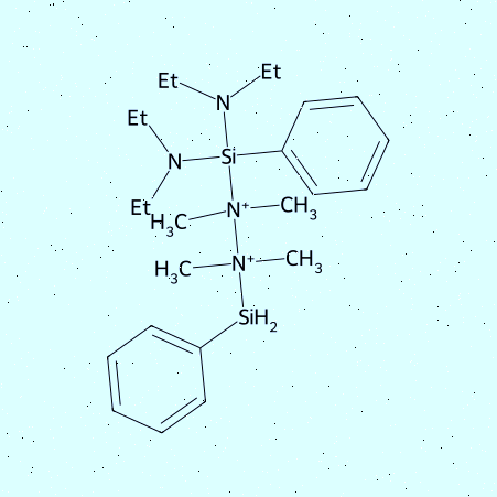 CCN(CC)[Si](c1ccccc1)(N(CC)CC)[N+](C)(C)[N+](C)(C)[SiH2]c1ccccc1